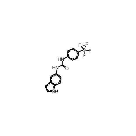 O=C(Nc1ccc([SH](F)(F)(F)F)cc1)Nc1ccc2[nH]ccc2c1